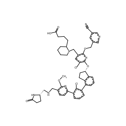 COc1nc(-c2cccc(-c3cccc4c3CC[C@@H]4Oc3nc(OCc4cncc(C#N)c4)c(CN4CCCCC4CCCC(=O)O)cc3Cl)c2Cl)ccc1CNC[C@@H]1CCC(=O)N1